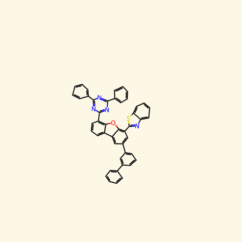 c1ccc(-c2cccc(-c3cc(-c4nc5ccccc5s4)c4oc5c(-c6nc(-c7ccccc7)nc(-c7ccccc7)n6)cccc5c4c3)c2)cc1